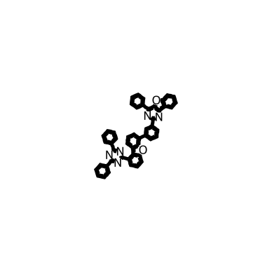 c1ccc(-c2nc(-c3ccccc3)nc(-c3cccc4oc5c(-c6cccc(-c7nc(-c8ccccc8)c8oc9ccccc9c8n7)c6)cccc5c34)n2)cc1